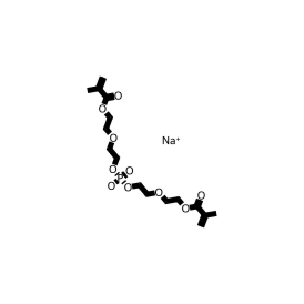 C=C(C)C(=O)OCCOCCOP(=O)([O-])OCCOCCOC(=O)C(=C)C.[Na+]